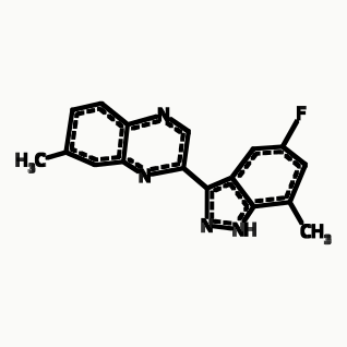 Cc1ccc2ncc(-c3n[nH]c4c(C)cc(F)cc34)nc2c1